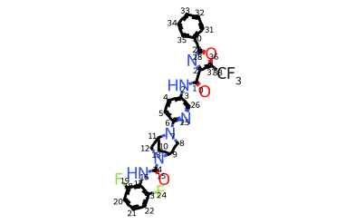 O=C(Nc1ccc(N2CC3CC2CN3C(=O)Nc2c(F)cccc2F)nc1)c1nc(-c2ccccc2)oc1C(F)(F)F